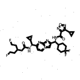 O=C(CC(CCF)CCF)N[C@@H](c1ccn2cc([C@@H](NC(=O)c3nonc3C3CC3)C3CCC(F)(F)CC3)nc2n1)C1CC1